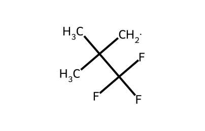 [CH2]C(C)(C)C(F)(F)F